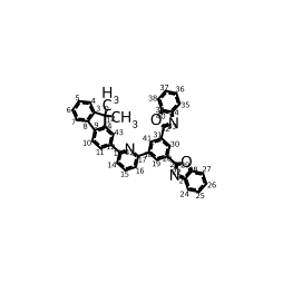 CC1(C)c2ccccc2-c2ccc(-c3cccc(-c4cc(-c5nc6ccccc6o5)cc(-c5nc6ccccc6o5)c4)n3)cc21